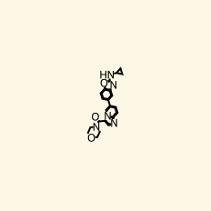 O=C(c1cnc2ccc(-c3ccc4oc(NC5CC5)nc4c3)cn12)N1CCOCC1